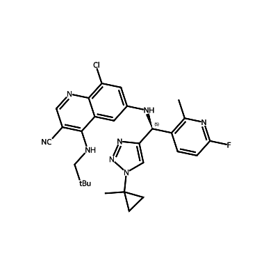 Cc1nc(F)ccc1[C@H](Nc1cc(Cl)c2ncc(C#N)c(NCC(C)(C)C)c2c1)c1cn(C2(C)CC2)nn1